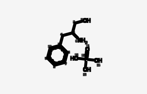 NC(CO)Cc1ccccc1.O=P(O)(O)O